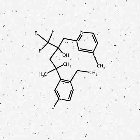 CCc1ccc(F)cc1C(C)(C)CC(O)(Cc1cc(C)ccn1)C(F)(F)F